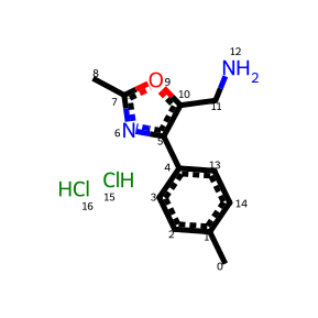 Cc1ccc(-c2nc(C)oc2CN)cc1.Cl.Cl